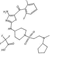 CN(CCS(=O)(=O)N1CCC(Nc2nc(N)c(C(=O)c3c(F)cccc3F)s2)CC1)C1CCCC1.O=C(O)C(F)(F)F